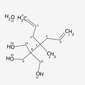 C=CCC(C)(CC=C)C(CO)(CO)CO.O